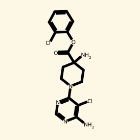 Nc1ncnc(N2CCC(N)(C(=O)Oc3ccccc3Cl)CC2)c1Cl